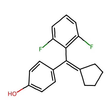 Oc1ccc(C(=C2CCCC2)c2c(F)cccc2F)cc1